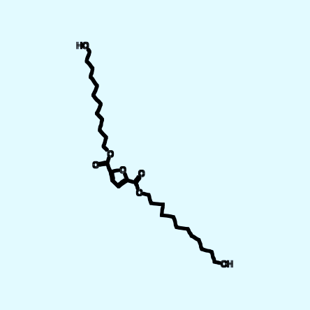 O=C(OCCCCCCCCCCCCO)c1ccc(C(=O)OCCCCCCCCCCCCO)o1